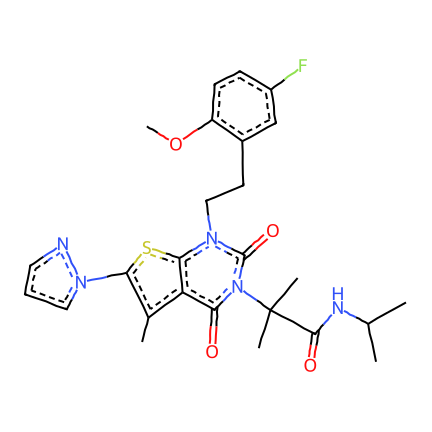 COc1ccc(F)cc1CCn1c(=O)n(C(C)(C)C(=O)NC(C)C)c(=O)c2c(C)c(-n3cccn3)sc21